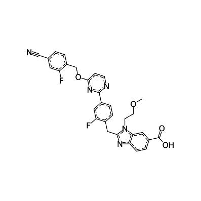 COCCn1c(Cc2ccc(-c3nccc(OCc4ccc(C#N)cc4F)n3)cc2F)nc2ccc(C(=O)O)cc21